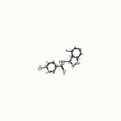 Cc1cccc2snc(NC(=O)c3ccc(Cl)nc3)c12